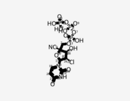 N#C[C@]1(COP(=O)(O)OP(=O)(O)OP(=O)(O)O)OC(n2ccc(=O)[nH]c2=O)[C@H](Cl)[C@@H]1O